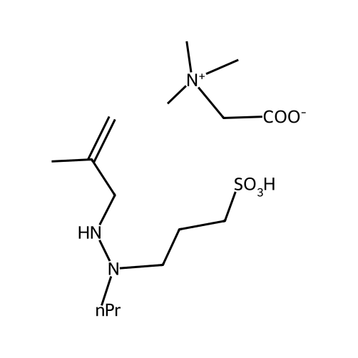 C=C(C)CNN(CCC)CCCS(=O)(=O)O.C[N+](C)(C)CC(=O)[O-]